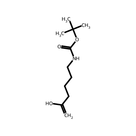 C=C(O)CCCCNC(=O)OC(C)(C)C